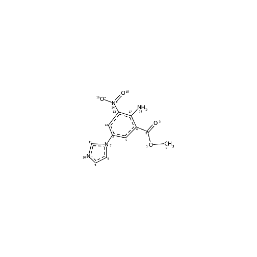 COC(=O)c1cc(-n2ccnc2)cc([N+](=O)[O-])c1N